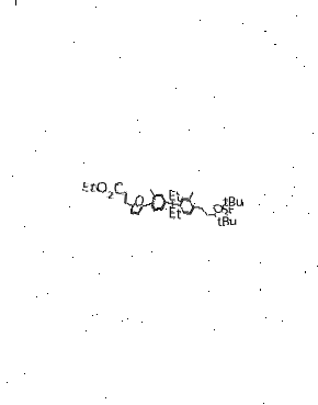 CCOC(=O)C=Cc1ccc(-c2ccc(C(CC)(CC)c3ccc(CCC(O[Si](C)(C)C(C)(C)C)C(C)(C)C)c(C)c3)cc2C)o1